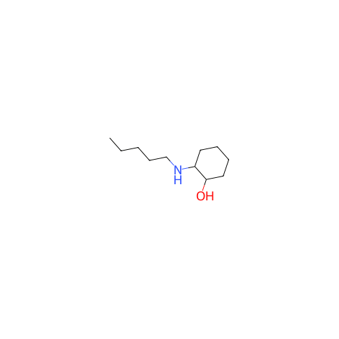 CCCCCNC1CCCCC1O